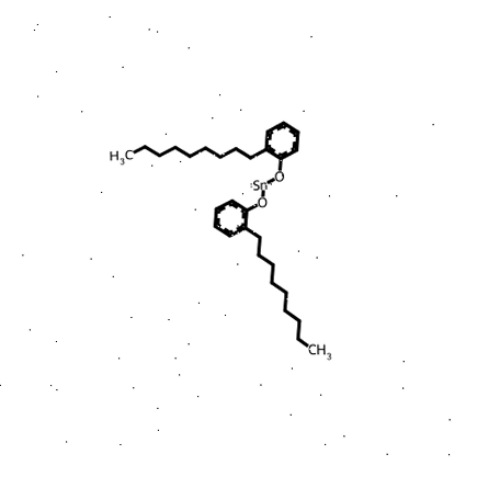 CCCCCCCCCc1ccccc1[O][Sn][O]c1ccccc1CCCCCCCCC